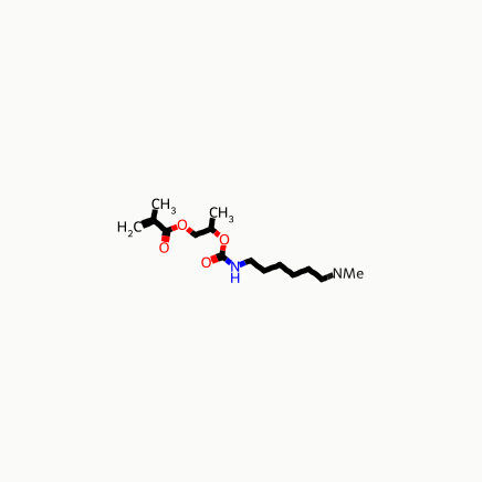 C=C(C)C(=O)OCC(C)OC(=O)NCCCCCCNC